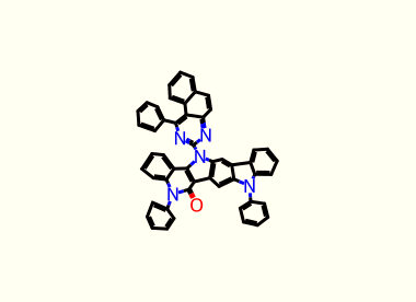 O=c1c2c3cc4c(cc3n(-c3nc(-c5ccccc5)c5c(ccc6ccccc65)n3)c2c2ccccc2n1-c1ccccc1)c1ccccc1n4-c1ccccc1